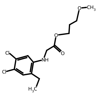 CCc1cc(Cl)c(Cl)cc1NCC(=O)OCCCOC